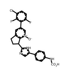 O=C(O)Nc1ccc(-c2cnc(C3CCc4cc(-c5c(F)ccc(Cl)c5F)c[n+]([O-])c43)[nH]2)cc1